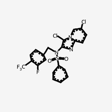 O=S(=O)(c1ccccc1)N(Cc1ccc(C(F)(F)F)c(F)c1)c1nc2ccc(Cl)cn2c1Cl